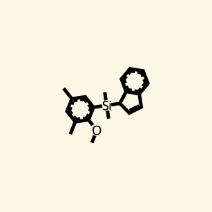 COc1c(C)cc(C)cc1[Si](C)(C)C1C=Cc2ccccc21